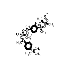 C=C[Si](C)(OOCC)O[Si](C)(C)c1ccc([Si](C)(C)O[Si](C)(C)O[Si](C)(C)c2ccc([Si](C)(C)C)cc2)cc1